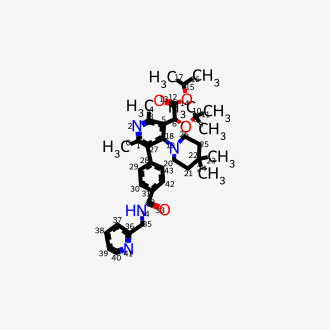 Cc1nc(C)c(C(OC(C)(C)C)C(=O)OC(C)C)c(N2CCC(C)(C)CC2)c1-c1ccc(C(=O)NCc2ccccn2)cc1